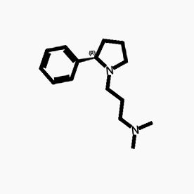 CN(C)CCCN1CCC[C@@H]1c1ccccc1